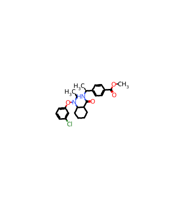 CCN(Oc1cccc(Cl)c1)C1CCCCC1C(=O)N[C@@H](C)c1ccc(C(=O)OC)cc1